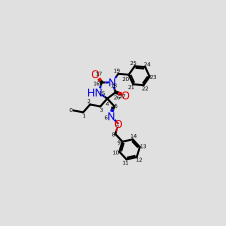 CCCCC1(C=NOCc2ccccc2)NC(=O)N(Cc2ccccc2)C1=O